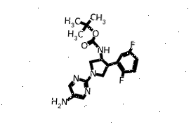 CC(C)(C)OC(=O)NC1CN(c2ncc(N)cn2)CC1c1cc(F)ccc1F